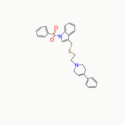 O=S(=O)(c1ccccc1)n1cc(CSCCN2CC=C(c3ccccc3)CC2)c2ccccc21